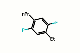 CCCc1cc(F)c(CC)cc1F